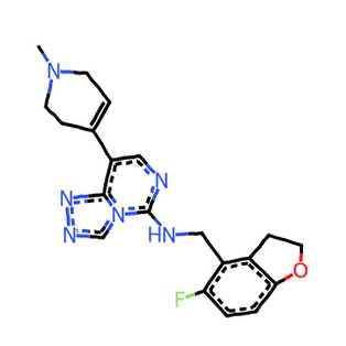 CN1CC=C(c2cnc(NCc3c(F)ccc4c3CCO4)n3cnnc23)CC1